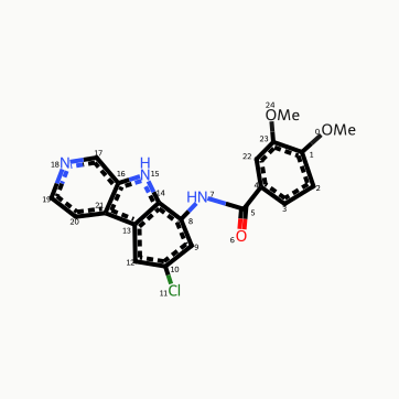 COc1ccc(C(=O)Nc2cc(Cl)cc3c2[nH]c2cnccc23)cc1OC